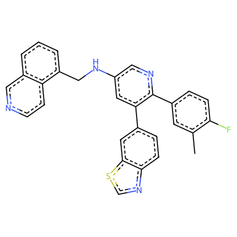 Cc1cc(-c2ncc(NCc3cccc4cnccc34)cc2-c2ccc3ncsc3c2)ccc1F